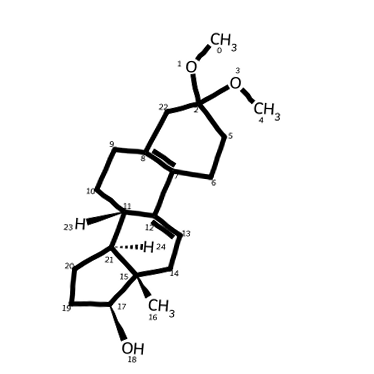 COC1(OC)CCC2=C(CC[C@@H]3C2=CC[C@]2(C)[C@@H](O)CC[C@@H]32)C1